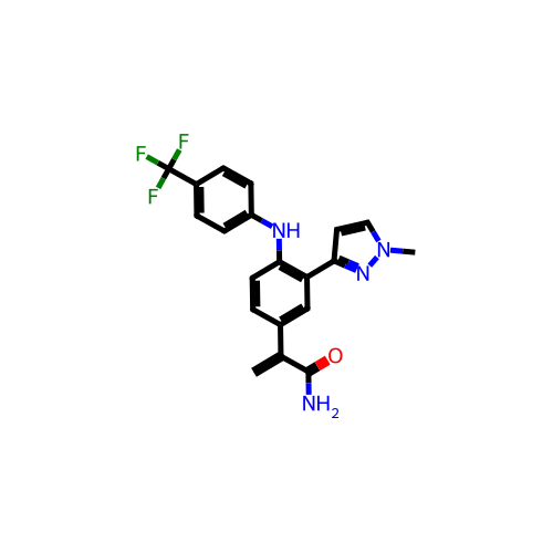 C=C(C(N)=O)c1ccc(Nc2ccc(C(F)(F)F)cc2)c(-c2ccn(C)n2)c1